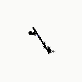 CCCCCCC(C/C=C/CCCCCCCC(=O)OCC(=O)NCc1cc(OC)c(O)cc1I)OC(=O)Cc1ccccc1